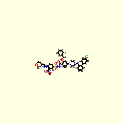 O=C(NS(=O)(=O)c1ccc(NCC2CCOCC2)c([N+](=O)[O-])c1)c1ccc(N2CCN(Cc3ccccc3-c3ccc(Cl)cc3)CC2)cc1OCc1ccccc1